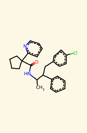 CC(NC(=O)C1(c2ccccn2)CCCC1)C(Cc1ccc(Cl)cc1)c1ccccc1